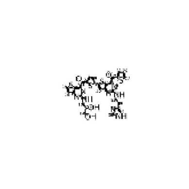 O=C(c1cccs1)c1nc(NCC(O)CO)nc2ccsc12.O=C(c1cccs1)c1nc(NCCc2c[nH]cn2)nc2ccsc12